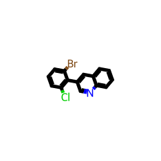 Clc1cccc(Br)c1-c1cnc2ccccc2c1